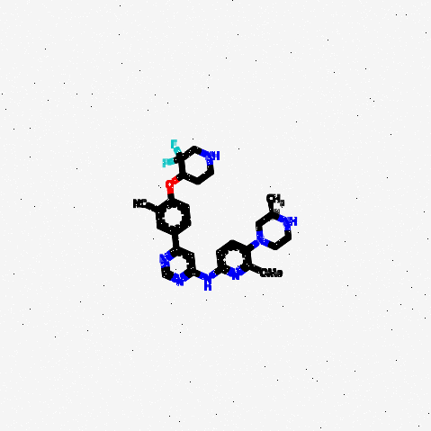 COc1nc(Nc2cc(-c3ccc(OC4CCNCC4(F)F)c(C#N)c3)ncn2)ccc1N1CCN[C@H](C)C1